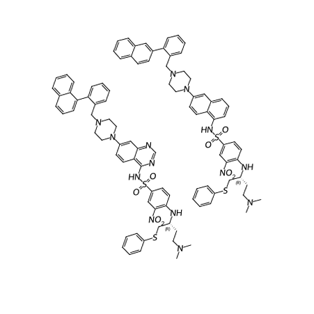 CN(C)CC[C@H](CSc1ccccc1)Nc1ccc(S(=O)(=O)Nc2cccc3cc(N4CCN(Cc5ccccc5-c5ccc6ccccc6c5)CC4)ccc23)cc1[N+](=O)[O-].CN(C)CC[C@H](CSc1ccccc1)Nc1ccc(S(=O)(=O)Nc2ncnc3cc(N4CCN(Cc5ccccc5-c5cccc6ccccc56)CC4)ccc23)cc1[N+](=O)[O-]